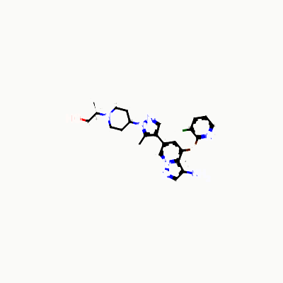 Cc1c(-c2cc(Sc3ncccc3F)c3c(N)cnn3c2)cnn1C1CCN([C@H](C)CO)CC1